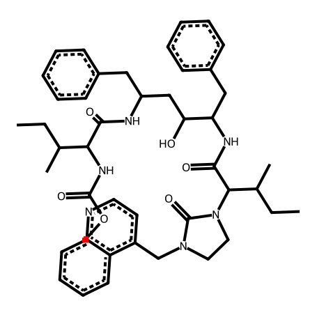 CCC(C)C(NC(=O)OC)C(=O)NC(Cc1ccccc1)CC(O)C(Cc1ccccc1)NC(=O)C(C(C)CC)N1CCN(Cc2ccnc3ccccc23)C1=O